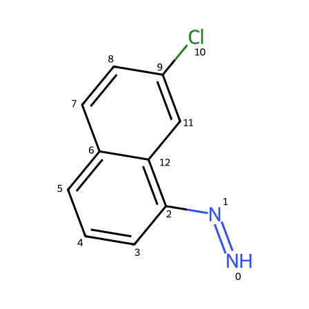 N=Nc1cccc2ccc(Cl)cc12